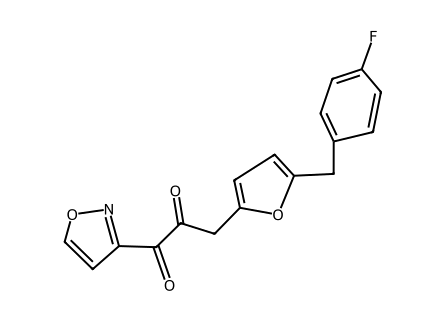 O=C(Cc1ccc(Cc2ccc(F)cc2)o1)C(=O)c1ccon1